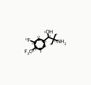 CC(C)(N)C(O)c1ccc(C(F)(F)F)c(F)c1